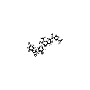 CC(C)N1C(=O)N(c2ccc(NS(=O)(=O)Cc3ccc(F)cc3)c(F)c2)Cc2cnc(N[C@@H]3CC[C@@H](N(C)C)C3)nc21